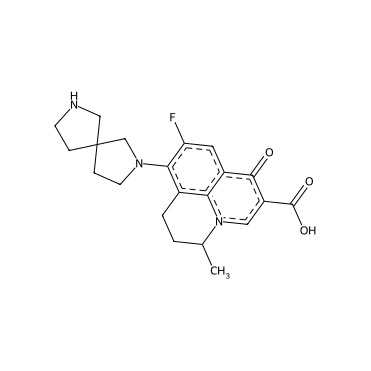 CC1CCc2c(N3CCC4(CCNC4)C3)c(F)cc3c(=O)c(C(=O)O)cn1c23